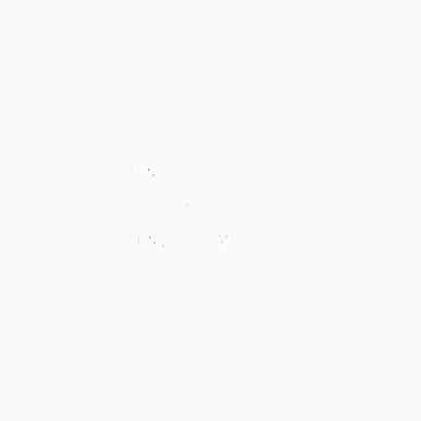 CS/C(=C/N)NI